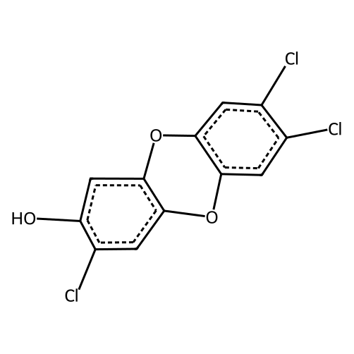 Oc1cc2c(cc1Cl)Oc1cc(Cl)c(Cl)cc1O2